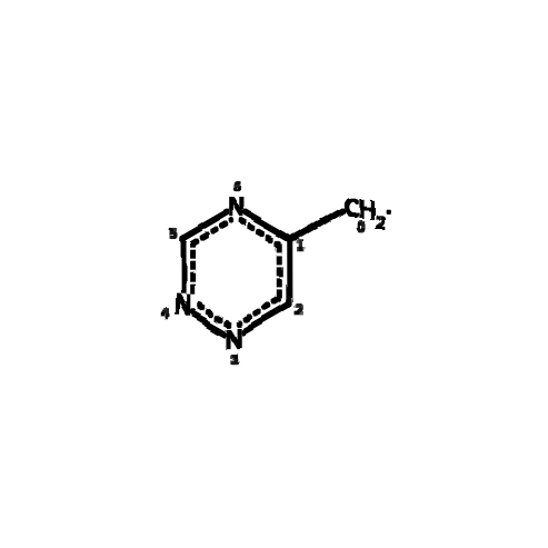 [CH2]c1cnncn1